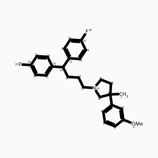 COc1cccc(C2(C)CCN(CCCC(c3ccc(F)cc3)c3ccc(F)cc3)C2)c1